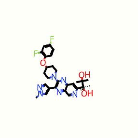 Cn1cc(-c2nc3cnc([C@](C)(O)C(C)(C)O)cc3nc2N2CCC(Oc3ccc(F)cc3F)CC2)cn1